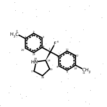 Cc1ccc(C(F)(c2ccc(C)cc2)[C@H]2CCCN2)cc1